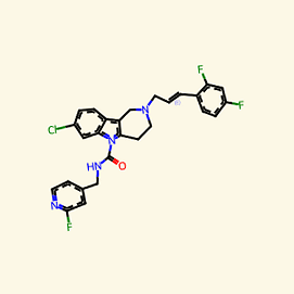 O=C(NCc1ccnc(F)c1)n1c2c(c3ccc(Cl)cc31)CN(C/C=C/c1ccc(F)cc1F)CC2